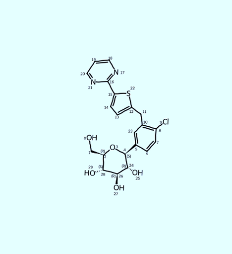 OC[C@H]1O[C@@H](c2ccc(Cl)c(Cc3ccc(-c4ncccn4)s3)c2)[C@H](O)[C@@H](O)[C@@H]1O